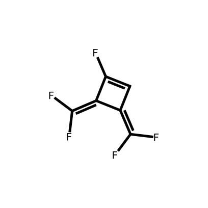 FC1=CC(=C(F)F)C1=C(F)F